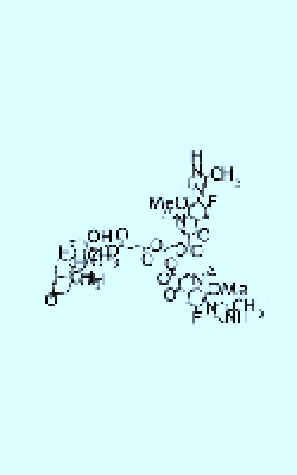 COc1c(N2CCNC(C)C2)c(F)cc2c(=O)c(C(=O)OCC(COC(=O)c3cn(C4CC4)c4c(OC)c(N5CCNC(C)C5)c(F)cc4c3=O)OC(=O)CCC(=O)OCC(=O)[C@@]3(O)CC[C@H]4[C@@H]5CCC6=CC(=O)CC[C@]6(C)C5[C@@H](O)C[C@@]43C)cn(C3CC3)c12